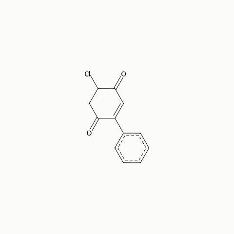 O=C1CC(Cl)C(=O)C=C1c1ccccc1